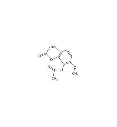 COc1ccc2ccc(=O)oc2c1OC(C)=O